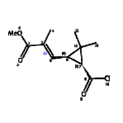 COC(=O)/C(C)=C/[C@@H]1[C@@H](C(=O)Cl)C1(C)C